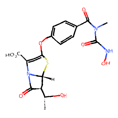 C[C@@H](O)[C@H]1C(=O)N2C(C(=O)O)=C(Oc3ccc(C(=O)N(C)C(=O)NO)cc3)S[C@H]12